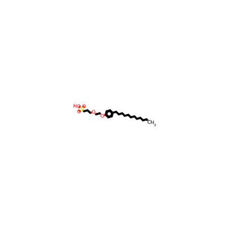 CCCCCCCCCCCCc1ccc(OCCOCCCS(=O)(=O)O)cc1